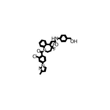 Cc1ccn(-c2ccc(C(=O)N3CCC(F)(F)C(=CC(=O)Nc4ccc(CO)cc4)c4ccccc43)c(Cl)c2)n1